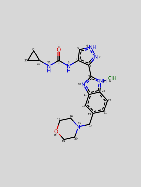 Cl.O=C(Nc1c[nH]nc1-c1nc2cc(CN3CCOCC3)ccc2[nH]1)NC1CC1